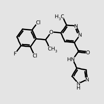 Cc1nnc(C(=O)Nc2cn[nH]c2)cc1OC(C)c1c(Cl)ccc(F)c1Cl